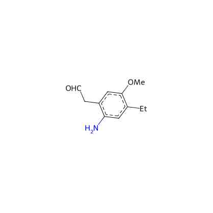 CCc1cc(N)c(CC=O)cc1OC